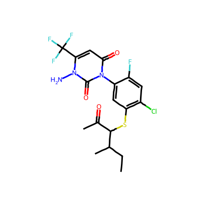 CCC(C)C(Sc1cc(-n2c(=O)cc(C(F)(F)F)n(N)c2=O)c(F)cc1Cl)C(C)=O